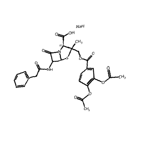 CC(=O)Oc1ccc(C(=O)OCC2(C)SC3C(NC(=O)Cc4ccccc4)C(=O)N3[C@H]2C(=O)O)cc1OC(C)=O.[NaH]